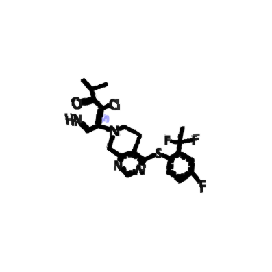 CC(C)C(=O)/C(Cl)=C(\C=N)N1CCc2c(ncnc2Sc2ccc(F)cc2C(C)(F)F)C1